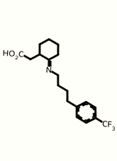 O=C(O)CC1CCCCC1=NCCCCc1ccc(C(F)(F)F)cc1